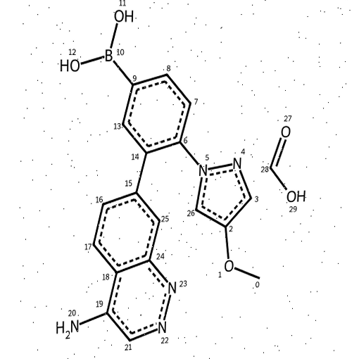 COc1cnn(-c2ccc(B(O)O)cc2-c2ccc3c(N)cnnc3c2)c1.O=CO